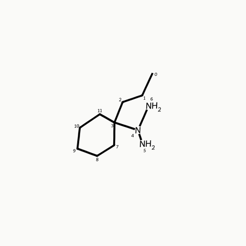 CCCC1(N(N)N)CCCCC1